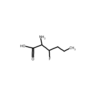 CCCC(F)C(N)C(=O)O